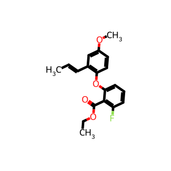 CC=Cc1cc(OC)ccc1Oc1cccc(F)c1C(=O)OCC